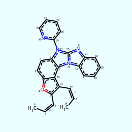 C/C=C\c1oc2ccc3c(c2c1/C=C\C)n1c2ccccc2nc1n3-c1ccccn1